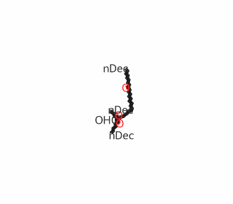 CCCCCCCCCCCCCCCCCC(=O)CCCCCCCC/C=C\CCCCCCC([C]=O)(C(=O)CCCCCCCCCCCCC)C(=O)CCCCCCCCCCCCCCC